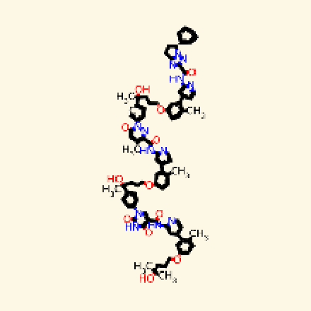 Cc1ccc(OCCCC(C)(C)O)cc1-c1ccnc(NC(=O)c2cn(-c3ccc(C(C)(O)CCCOc4ccc(C)c(-c5ccnc(NC(=O)c6nn(-c7ccc(C(C)(O)CCCOc8ccc(C)c(-c9ccnc(NC(=O)c%10nc%11n(n%10)[C@@H](c%10ccccc%10)CC%11)c9)c8)cc7)c(=O)cc6C)c5)c4)cc3)c(=O)[nH]c2=O)c1